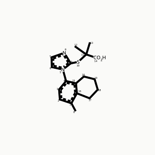 Cc1ccc(-n2ccnc2SC(C)(C)C(=O)O)c2c1CCCC2